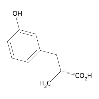 C[C@H](Cc1cccc(O)c1)C(=O)O